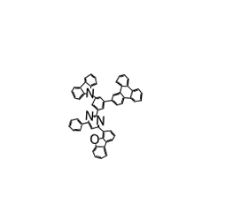 c1ccc(-c2cc(-c3cccc4c3oc3ccccc34)nc(-c3cc(-c4ccc5c6ccccc6c6ccccc6c5c4)cc(-n4c5ccccc5c5ccccc54)c3)n2)cc1